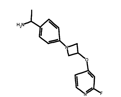 CC(N)c1ccc(N2CC(Oc3ccnc(F)c3)C2)cc1